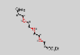 CCOC(=O)CCOCCOCCOCCOC